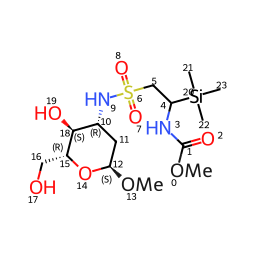 COC(=O)NC(CS(=O)(=O)N[C@@H]1C[C@@H](OC)O[C@H](CO)[C@H]1O)[Si](C)(C)C